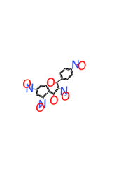 O=Nc1ccc(-c2oc3cc(N=O)cc(N=O)c3c(=O)c2N=O)cc1